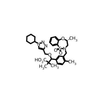 Cc1ccc(C(OCc2cn(C3CCCCC3)nn2)C(C)(C)C(=O)O)cc1CN1C[C@@H](C)Oc2ccccc2S1(=O)=O